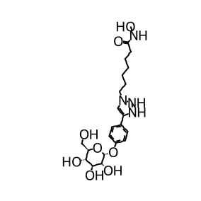 O=C(CCCCCCN1C=C(c2ccc(O[C@H]3O[C@H](CO)[C@@H](O)[C@H](O)[C@H]3O)cc2)NN1)NO